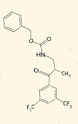 CC(CNC(=O)OCc1ccccc1)C(=O)c1cc(C(F)(F)F)cc(C(F)(F)F)c1